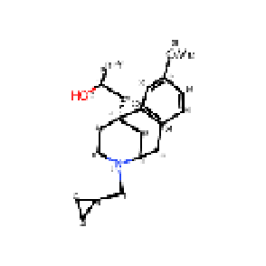 CCCC(O)C[C@]12CCN(CC3CC3)C(Cc3ccc(OC)cc31)C2